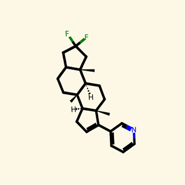 C[C@@]12CCC3CC(F)(F)C[C@]3(C)[C@H]1CC[C@]1(C)C(c3cccnc3)=CC[C@@H]21